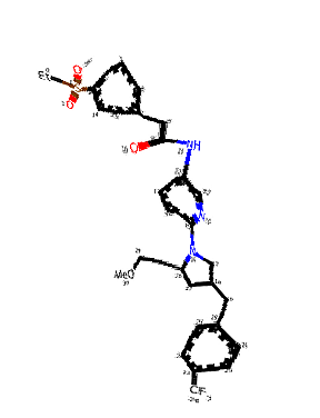 CCS(=O)(=O)c1ccc(CC(=O)Nc2ccc(N3CC(Cc4ccc(C(F)(F)F)cc4)C[C@H]3COC)nc2)cc1